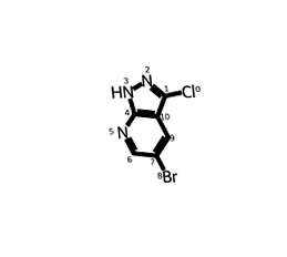 Clc1n[nH]c2ncc(Br)cc12